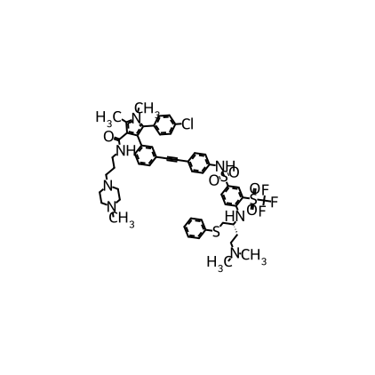 Cc1c(C(=O)NCCCN2CCN(C)CC2)c(-c2cccc(C#Cc3ccc(NS(=O)(=O)c4ccc(N[C@H](CCN(C)C)CSc5ccccc5)c(S(=O)(=O)C(F)(F)F)c4)cc3)c2)c(-c2ccc(Cl)cc2)n1C